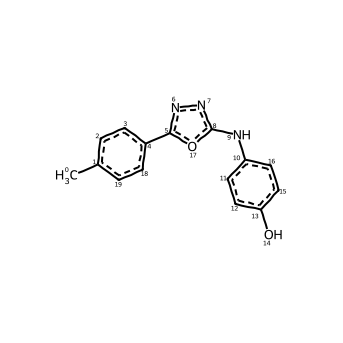 Cc1ccc(-c2nnc(Nc3ccc(O)cc3)o2)cc1